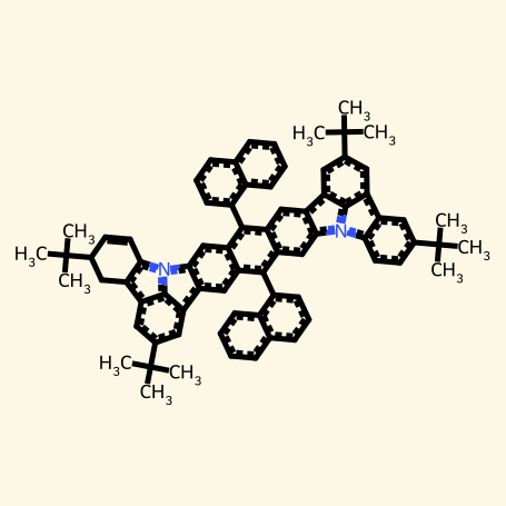 CC(C)(C)c1cc2c3c(n4c5cc6c(-c7cccc8ccccc78)c7cc8c9cc(C(C)(C)C)cc%10c%11cc(C(C)(C)C)ccc%11n(c8cc7c(-c7cccc8ccccc78)c6cc5c(c1)c24)c%109)C=CC(C(C)(C)C)C3